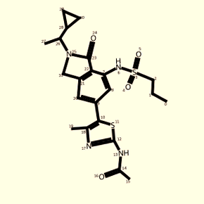 CCCS(=O)(=O)Nc1cc(-c2sc(NC(C)=O)nc2C)cc2c1C(=O)N(C(C)C1CC1)C2